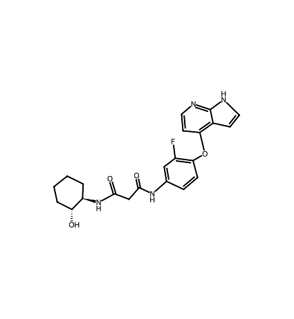 O=C(CC(=O)N[C@@H]1CCCC[C@H]1O)Nc1ccc(Oc2ccnc3[nH]ccc23)c(F)c1